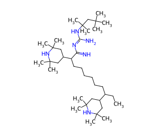 CCC(CCCCCCC(C(=N)/N=C(\N)NC(C)(C)CC(C)(C)C)C1CC(C)(C)NC(C)(C)C1)C1CC(C)(C)NC(C)(C)C1